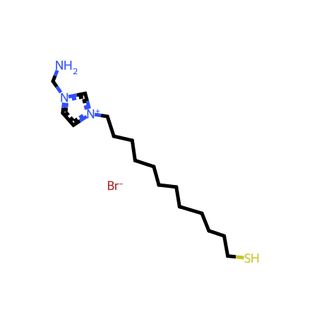 NCn1cc[n+](CCCCCCCCCCCCS)c1.[Br-]